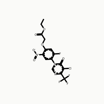 CCOC(=O)COc1cc(F)c(-n2cnc(C(F)(F)F)c(Cl)c2=O)cc1[N+](=O)[O-]